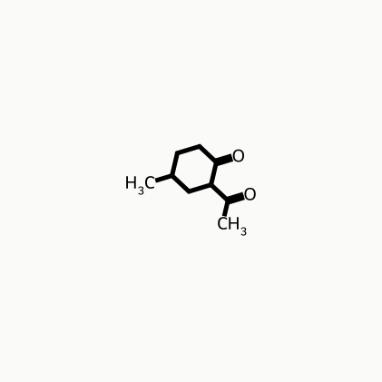 CC(=O)C1CC(C)CCC1=O